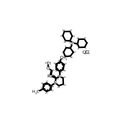 C1CCC(P(C2CCCCC2)C2CCCCC2)CC1.CCO[CH]=[Ru+2]=[C]1N(c2ccc(C)cc2)CCCN1c1ccc(C)cc1.[Cl-].[Cl-]